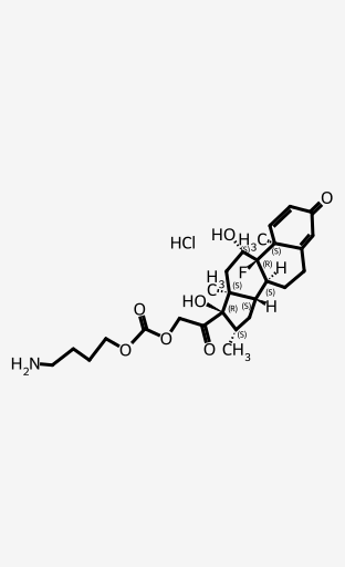 C[C@H]1C[C@H]2[C@@H]3CCC4=CC(=O)C=C[C@]4(C)[C@@]3(F)[C@@H](O)C[C@]2(C)[C@@]1(O)C(=O)COC(=O)OCCCCN.Cl